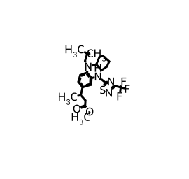 COC(=O)CC(C)c1ccc(N(CC(C)C)C2CCCCC2)c(Nc2nc(C(F)(F)F)ns2)c1